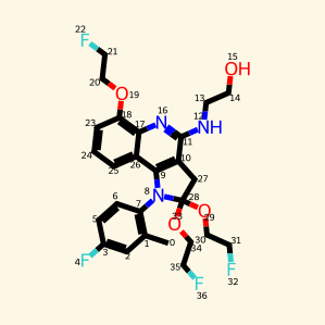 Cc1cc(F)ccc1N1c2c(c(NCCO)nc3c(OCCF)cccc23)CC1(OCCF)OCCF